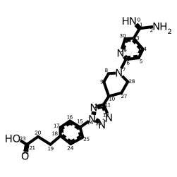 N=C(N)c1ccc(N2CCC(c3nnn(-c4ccc(CCC(=O)O)cc4)n3)CC2)nc1